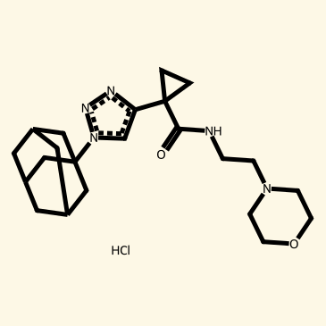 Cl.O=C(NCCN1CCOCC1)C1(c2cn(C34CC5CC(CC(C5)C3)C4)nn2)CC1